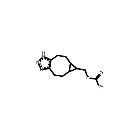 CC(C)C(=O)OCC1C2CCc3nn[nH]c3CCC21